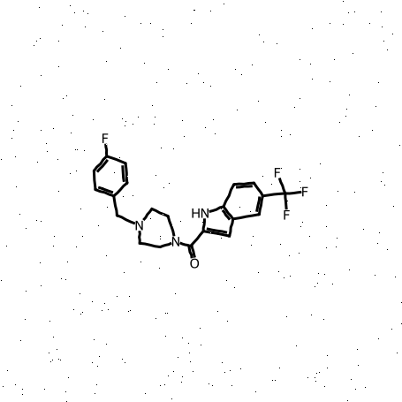 O=C(c1cc2cc(C(F)(F)F)ccc2[nH]1)N1CCN(Cc2ccc(F)cc2)CC1